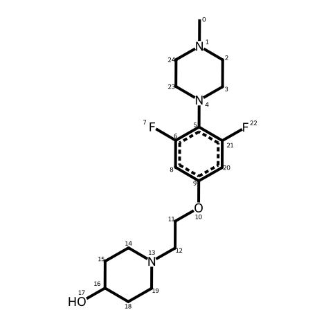 CN1CCN(c2c(F)cc(OCCN3CCC(O)CC3)cc2F)CC1